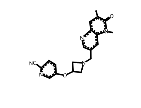 Cc1cc2ncc(CN3CC(Oc4ccc(C#N)nc4)C3)cc2n(C)c1=O